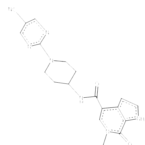 Cn1cc(C(=O)NC2CCN(c3ncc(C#N)cn3)CC2)c2cc[nH]c2c1=O